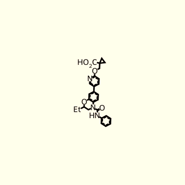 CCC1CN(C(=O)Nc2ccccc2)c2ccc(-c3ccc(OCC4(C(=O)O)CC4)nc3)cc2O1